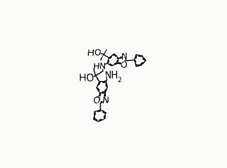 CC(C)(O)c1cc2nc(-c3ccccc3)oc2cc1NCC(C)(O)c1cc2oc(-c3ccccc3)nc2cc1N